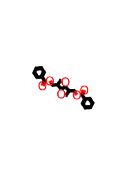 O=C(OCC1COC2C(COC(=O)c3ccccc3)COC12)c1ccccc1